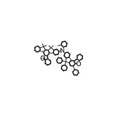 Cc1ccccc1N(c1ccc2c(c1)C(C)(C)c1c3c(c4oc5ccccc5c4c1-2)-c1ccccc1C3(C)C)c1ccc2c(c1)C(c1ccccc1)(c1ccccc1)c1cc(-c3ccccc3)c3oc4ccccc4c3c1-2